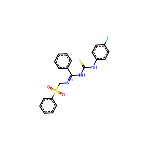 O=S(=O)(C/N=C(/NC(=S)Nc1ccc(F)cc1)c1ccccc1)c1ccccc1